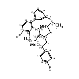 CO[C@H](C[C@H](CCN(C)Cc1cccc(-c2ccc(F)c(C)c2)c1)C(=O)NO)c1ccc(F)cc1